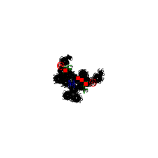 C=Cc1ccc(Oc2ccc(C3(c4cccc(F)c4F)c4ccccc4-c4ccc(N(c5cccc(-c6ccccc6-c6ccccc6)c5)c5ccc6c(c5)C(c5ccc(Oc7ccc(C=C)cc7)cc5)(c5cccc(F)c5F)c5ccccc5-6)cc43)cc2)cc1